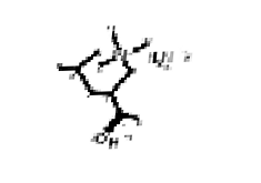 CC(=O)C(CC(C)C)C[N+](C)(C)C.I.N.[I-]